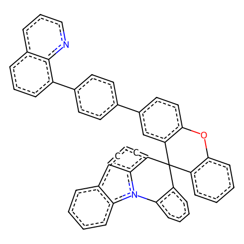 c1ccc2c(c1)Oc1ccc(-c3ccc(-c4cccc5cccnc45)cc3)cc1C21c2ccccc2-n2c3ccccc3c3cccc1c32